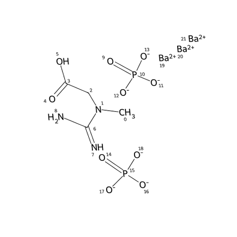 CN(CC(=O)O)C(=N)N.O=P([O-])([O-])[O-].O=P([O-])([O-])[O-].[Ba+2].[Ba+2].[Ba+2]